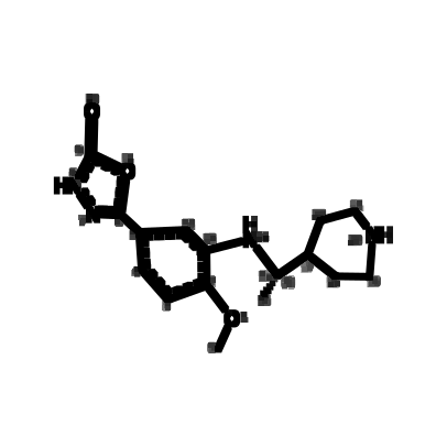 COc1ccc(-c2n[nH]c(=O)o2)cc1N[C@@H](C)C1CCNCC1